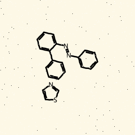 c1ccc(N=Nc2ccccc2-c2ccccc2)cc1.c1cscn1